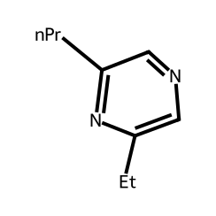 CCCc1cncc(CC)n1